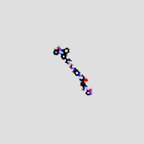 O=C1CC[C@H](N2Cc3c(ccc4c3OCC43CCN(C4CCC5(CC4)CN(C(=O)CN4CCC(c6ccc7c(c6)C6(CCCCC6)c6nc(=O)c8c(Cl)cccc8n6-7)CC4)C5)CC3)C2=O)C(=O)N1